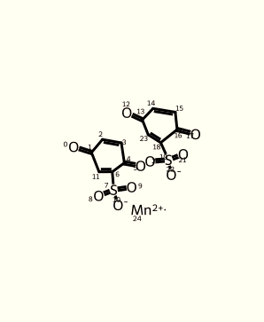 O=C1C=CC(=O)C(S(=O)(=O)[O-])=C1.O=C1C=CC(=O)C(S(=O)(=O)[O-])=C1.[Mn+2]